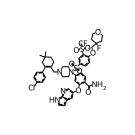 CC1(C)CCC(CN2CC[N+](c3ccc(C(N)=O)c(Oc4cnc5[nH]ccc5c4)c3)(S(=O)(=O)c3ccc(OCC4(F)CCOCC4)c(S(=O)(=O)C(F)(F)F)c3)CC2)=C(c2ccc(Cl)cc2)C1